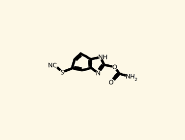 N#CSc1ccc2[nH]c(OC(N)=O)nc2c1